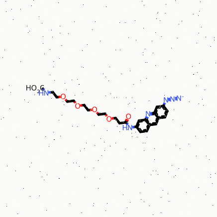 [N-]=[N+]=Nc1ccc2cc3ccc(NC(=O)CCOCCOCCOCCOCCNC(=O)O)cc3nc2c1